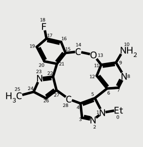 CCn1ncc2c1-c1cnc(N)c(c1)OCc1cc(F)ccc1C1=NC(C)C=C1C2